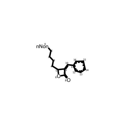 CCCCCCCCCCCCCC1OC(=O)/C1=C\c1ccccc1